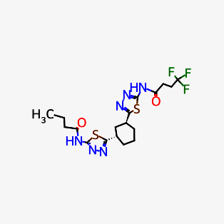 CCCC(=O)Nc1nnc([C@H]2CCC[C@H](c3nnc(NC(=O)CCC(F)(F)F)s3)C2)s1